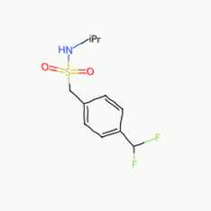 CC(C)NS(=O)(=O)Cc1ccc(C(F)F)cc1